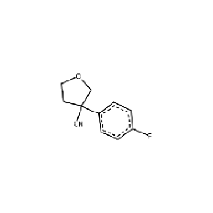 N#CC1(c2ccc(F)cc2)CCOC1